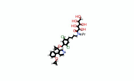 CCCN(CCCCc1cc(Cl)c(COC2(c3cnccc3-c3ccccc3OC3CC3)CC2)cc1Cl)C(=O)[C@@H](O)[C@@H](O)[C@H](O)[C@@H](O)CO